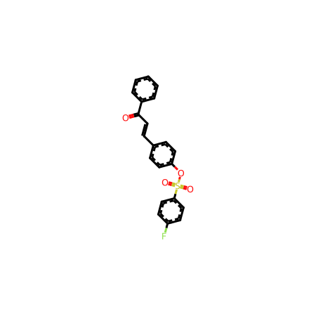 O=C(/C=C/c1ccc(OS(=O)(=O)c2ccc(F)cc2)cc1)c1ccccc1